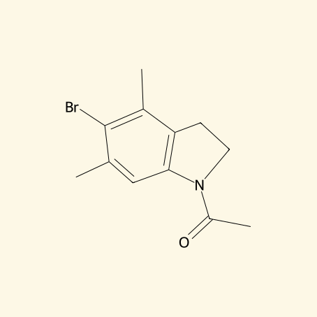 CC(=O)N1CCc2c1cc(C)c(Br)c2C